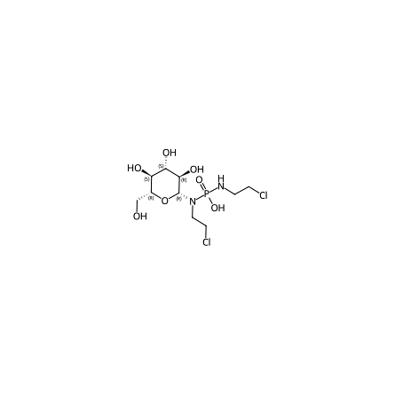 O=P(O)(NCCCl)N(CCCl)[C@@H]1O[C@H](CO)[C@@H](O)[C@H](O)[C@H]1O